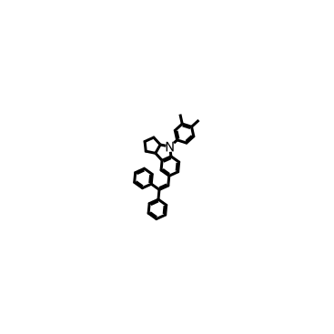 Cc1ccc(N2c3ccc(C=C(c4ccccc4)c4ccccc4)cc3C3CCCC32)cc1C